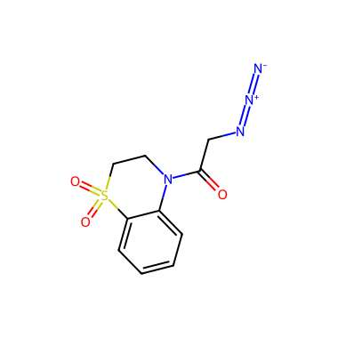 [N-]=[N+]=NCC(=O)N1CCS(=O)(=O)c2ccccc21